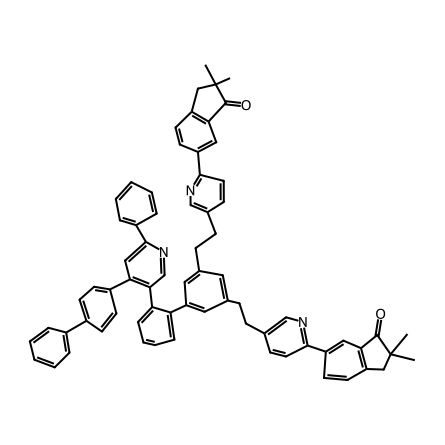 CC1(C)Cc2ccc(-c3ccc(CCc4cc(CCc5ccc(-c6ccc7c(c6)C(=O)C(C)(C)C7)nc5)cc(-c5ccccc5-c5cnc(-c6ccccc6)cc5-c5ccc(-c6ccccc6)cc5)c4)cn3)cc2C1=O